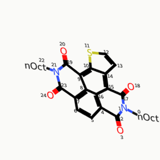 CCCCCCCCN1C(=O)c2ccc3c4c(c5sccc5c(c24)C1=O)C(=O)N(CCCCCCCC)C3=O